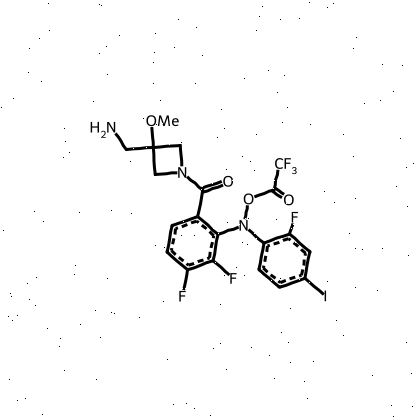 COC1(CN)CN(C(=O)c2ccc(F)c(F)c2N(OC(=O)C(F)(F)F)c2ccc(I)cc2F)C1